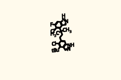 CC(C)(C)c1c(Cl)c(CCC(C)(C)c2c(Cl)c(F)cc3[nH]ncc23)cc2[nH]ncc12